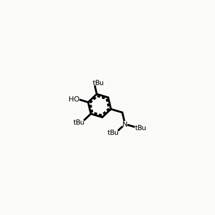 CC(C)(C)c1cc(CN(C(C)(C)C)C(C)(C)C)cc(C(C)(C)C)c1O